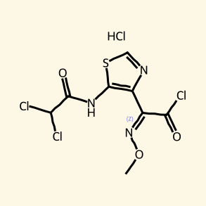 CO/N=C(\C(=O)Cl)c1ncsc1NC(=O)C(Cl)Cl.Cl